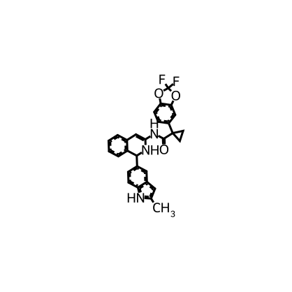 Cc1cc2cc(C3NC(NC(=O)C4(c5ccc6c(c5)OC(F)(F)O6)CC4)=Cc4ccccc43)ccc2[nH]1